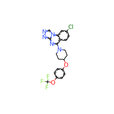 FC(F)(F)Oc1ccc(OC2CCN(c3nc4nncn4c4cc(Cl)ccc34)CC2)cc1